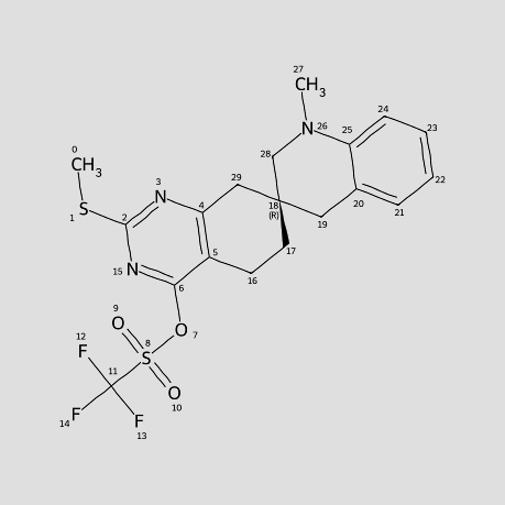 CSc1nc2c(c(OS(=O)(=O)C(F)(F)F)n1)CC[C@@]1(Cc3ccccc3N(C)C1)C2